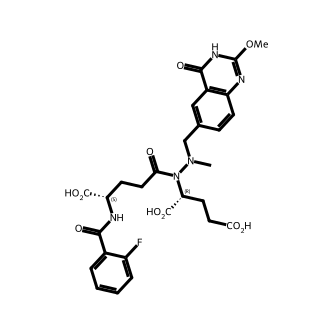 COc1nc2ccc(CN(C)N(C(=O)CC[C@H](NC(=O)c3ccccc3F)C(=O)O)[C@H](CCC(=O)O)C(=O)O)cc2c(=O)[nH]1